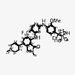 CCC(CC)(c1ccc(Nc2ncc(C(F)(F)F)c(Nc3ccc(C4=CCN(C)CC4)c4c3C(=O)N(C)C4)n2)c(OC)c1)P(=O)(O)O